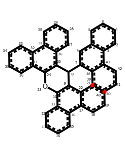 c1ccc2c(c1)cc(C1c3c(c4ccccc4c4ccccc34)Oc3c1c1ccccc1c1ccccc31)c1ccccc12